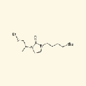 CCSCC(C)N1CCN(CCCCC(C)(C)C)C1=O